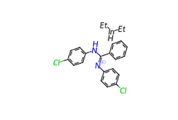 C[CH2][InH][CH2]C.Clc1ccc(/N=C(/Nc2ccc(Cl)cc2)c2ccccc2)cc1